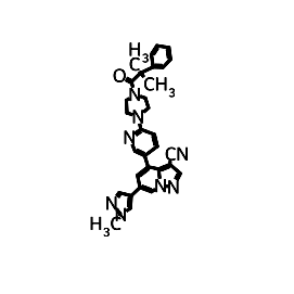 Cn1cc(-c2cc(-c3ccc(N4CCN(C(=O)C(C)(C)c5ccccc5)CC4)nc3)c3c(C#N)cnn3c2)cn1